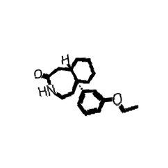 CCOc1cccc([C@@]23CCCC[C@H]2CC(=O)NCC3)c1